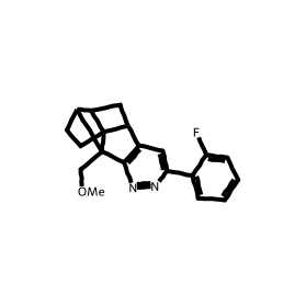 COCC12c3nnc(-c4ccccc4F)cc3C3CC4C1CCC342